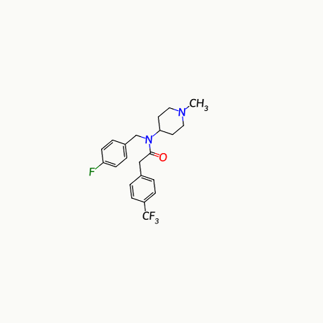 CN1CCC(N(Cc2ccc(F)cc2)C(=O)Cc2ccc(C(F)(F)F)cc2)CC1